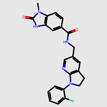 Cn1c(=O)[nH]c2cc(C(=O)NCc3cnc4c(c3)CCN4c3ccccc3F)ccc21